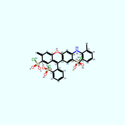 C=c1cc2c(cc1S(=O)(=O)Cl)=C(c1ccccc1S(=O)(=O)Cl)c1cc(S(=O)(=O)Cl)c(Nc3c(C)cccc3C)cc1O2